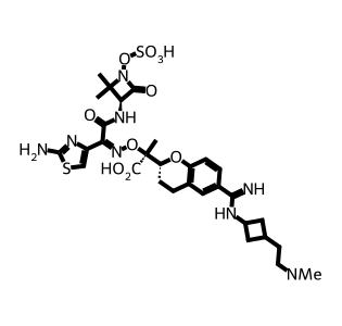 CNCCC1CC(NC(=N)c2ccc3c(c2)CC[C@H]([C@](C)(O/N=C(\C(=O)N[C@@H]2C(=O)N(OS(=O)(=O)O)C2(C)C)c2csc(N)n2)C(=O)O)O3)C1